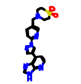 O=S1(=O)CCN(Cc2ccc(-n3cc(-c4ccnc5[nH]cnc45)cn3)nc2)CC1